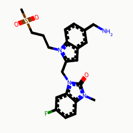 Cn1c(=O)n(Cc2cc3cc(CN)ccc3n2CCCS(C)(=O)=O)c2cc(F)ccc21